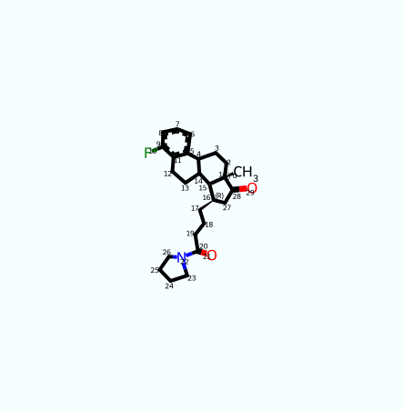 C[C@]12CCC3c4cccc(F)c4CCC3C1[C@H](CCCC(=O)N1CCCC1)CC2=O